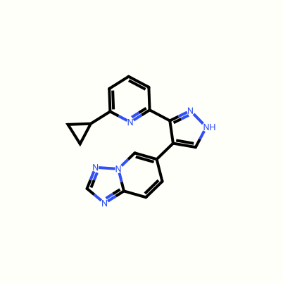 c1cc(-c2n[nH]cc2-c2ccc3ncnn3c2)nc(C2CC2)c1